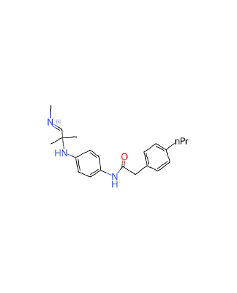 CCCc1ccc(CC(=O)Nc2ccc(NC(C)(C)/C=N/C)cc2)cc1